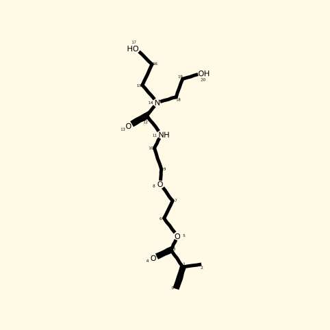 C=C(C)C(=O)OCCOCCNC(=O)N(CCO)CCO